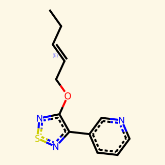 CC/C=C/COc1nsnc1-c1cccnc1